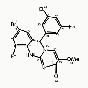 CCc1cc(Br)ccc1Nc1nc(=O)c(OC)cn1Cc1cc(F)cc(Cl)c1